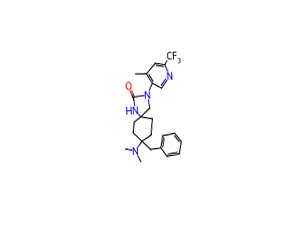 Cc1cc(C(F)(F)F)ncc1N1CC2(CCC(Cc3ccccc3)(N(C)C)CC2)NC1=O